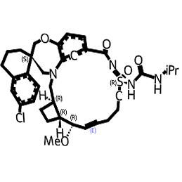 CO[C@H]1/C=C/CCC[S@@](=O)(NC(=O)NC(C)C)=NC(=O)c2ccc3c(c2)N(C[C@@H]2CC[C@H]21)C[C@@]1(CCCc2cc(Cl)ccc21)CO3